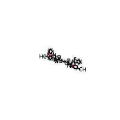 C#Cc1ccc2c(c1)C(c1ccccc1F)=NCc1c(C(=O)OCCCOC(=O)c3ncn4c3CN=C(c3ccccc3F)c3cc(C#C)ccc3-4)ncn1-2